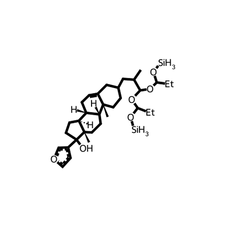 CCC(O[SiH3])OC(OC(CC)O[SiH3])C(C)CC1CC[C@@]2(C)C(=CC[C@@H]3[C@H]2CC[C@@]2(C)[C@H]3CCC2(O)c2ccoc2)C1